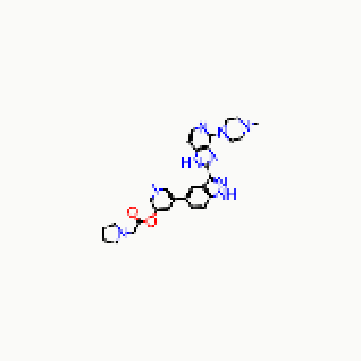 CN1CCN(c2nccc3[nH]c(-c4n[nH]c5ccc(-c6cncc(OC(=O)CN7CCCC7)c6)cc45)nc23)CC1